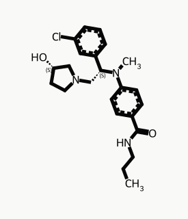 CCCNC(=O)c1ccc(N(C)[C@H](CN2CC[C@H](O)C2)c2cccc(Cl)c2)cc1